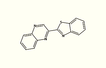 [c]1nc2ccccc2nc1-c1nc2ccccc2s1